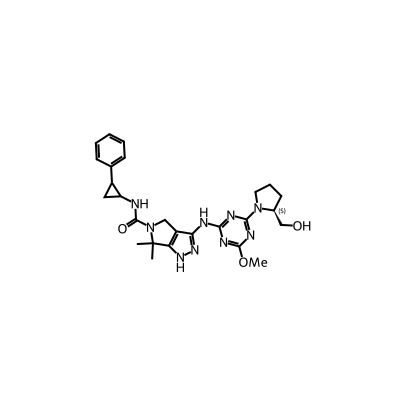 COc1nc(Nc2n[nH]c3c2CN(C(=O)NC2CC2c2ccccc2)C3(C)C)nc(N2CCC[C@H]2CO)n1